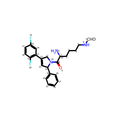 N[C@@H](CCCCNC=O)C(=O)N1CC(c2cc(F)ccc2F)=CC1c1ccccc1